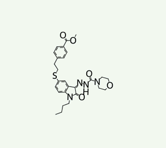 CCCCN1C(=O)C(=NNC(=O)N2CCOCC2)c2cc(SCCc3ccc(C(=O)OC)cc3)ccc21